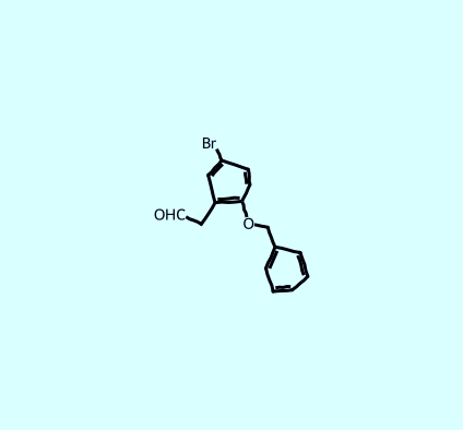 O=CCc1cc(Br)ccc1OCc1ccccc1